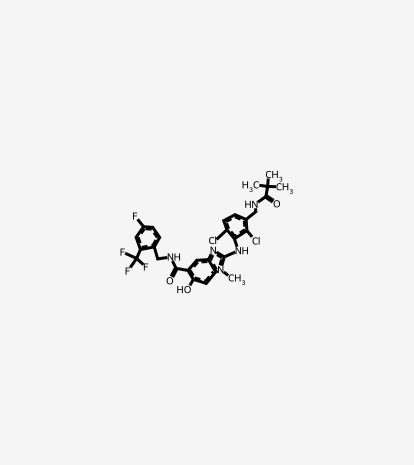 Cn1c(Nc2c(Cl)ccc(CNC(=O)C(C)(C)C)c2Cl)nc2cc(C(=O)NCc3ccc(F)cc3C(F)(F)F)c(O)cc21